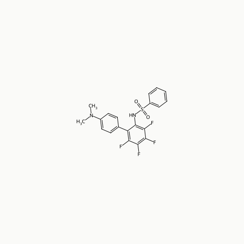 CN(C)c1ccc(-c2c(F)c(F)c(F)c(F)c2NS(=O)(=O)c2ccccc2)cc1